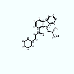 CCCCC(CC)Cn1c2ccccc2c2cccc(C(=O)CCC3CCCCC3)c21